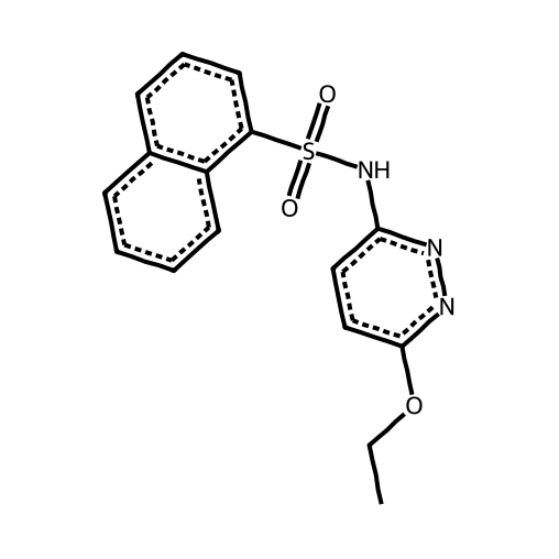 CCOc1ccc(NS(=O)(=O)c2cccc3ccccc23)nn1